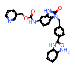 Nc1ccccc1NC(=O)c1ccc(Cn2c(=O)[nH]c3cc(NC(=O)OCc4cccnc4)ccc32)cc1